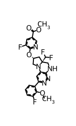 COC(=O)c1cnc(O[C@H]2CN3c4cc(-c5cccc(F)c5OC)nnc4NC[C@@]3(C(F)F)C2)c(F)c1